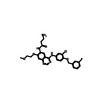 COCCOc1cc2ncnc(Nc3ccc(OCc4cccc(F)c4)c(Cl)c3)c2cc1NC(=O)CCN